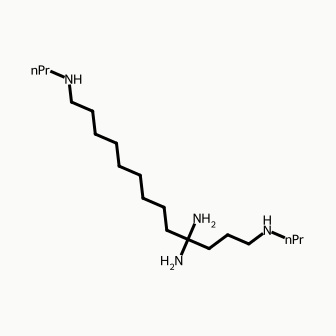 CCCNCCCCCCCCCC(N)(N)CCCNCCC